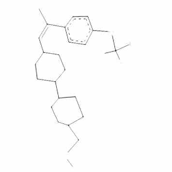 COCC1CCC(C2CCC(C=C(C)c3ccc(OC(F)(F)F)cc3)CC2)CC1